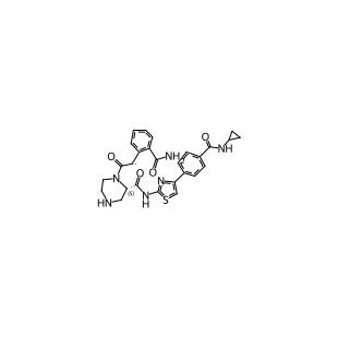 NC(=O)c1ccccc1[CH]C(=O)N1CCNC[C@H]1C(=O)Nc1nc(-c2ccc(C(=O)NC3CC3)cc2)cs1